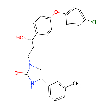 O=C1NC(c2cccc(C(F)(F)F)c2)CN1CC[C@H](O)c1ccc(Oc2ccc(Cl)cc2)cc1